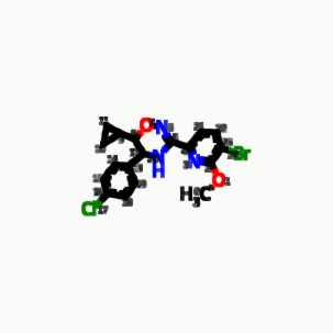 COc1nc(C2=NOC(C3CC3)C(c3ccc(Cl)cc3)N2)ccc1Br